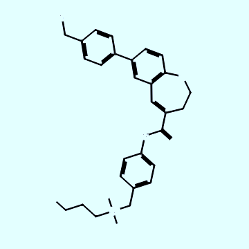 C[N+](C)(CCCO)Cc1ccc(NC(=O)C2=Cc3cc(-c4ccc(CN)cc4)ccc3OCC2)cc1.[I-]